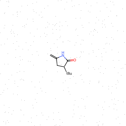 C=C1CC(C(C)(C)C)C(=O)N1